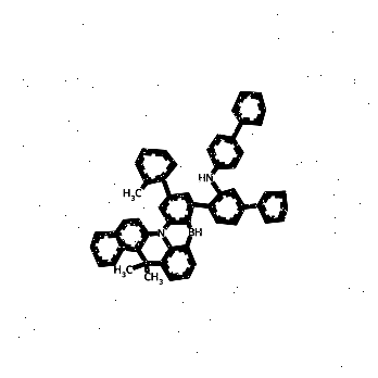 Cc1ccccc1-c1cc(-c2ccc(-c3ccccc3)cc2Nc2ccc(-c3ccccc3)cc2)c2c(c1)N1c3ccc4ccccc4c3C(C)(C)c3cccc(c31)B2